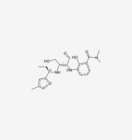 CC[C@@H](N/C(CO)=C(/C=O)Nc1cccc(C(=O)N(C)C)c1O)c1cc(C)co1